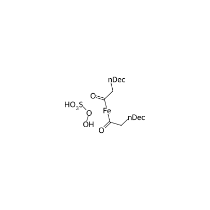 CCCCCCCCCCC[C](=O)[Fe][C](=O)CCCCCCCCCCC.O=S(=O)(O)OO